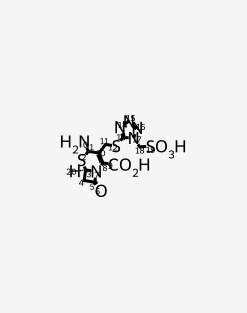 NC1S[C@@H]2CC(=O)N2C(C(=O)O)=C1CSc1nnnn1CS(=O)(=O)O